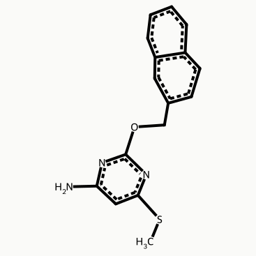 CSc1cc(N)nc(OCc2ccc3ccccc3c2)n1